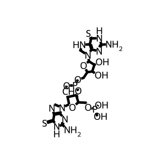 COP(OCC1OC(N2CNc3c2nc(N)[nH]c3=S)C(O)C1O)OC1CC(n2cnc3c(=S)[nH]c(N)nc32)OC1COP(O)O